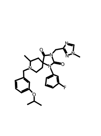 CC(C)Oc1cccc(CN2CCC3(CC2C)C(=O)N(Cc2ncn(C)n2)C(=O)N3c2cccc(F)c2)c1